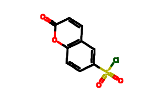 O=c1ccc2cc(S(=O)(=O)Cl)ccc2o1